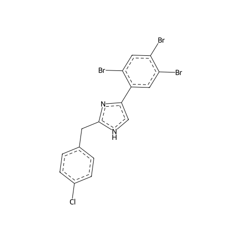 Clc1ccc(Cc2nc(-c3cc(Br)c(Br)cc3Br)c[nH]2)cc1